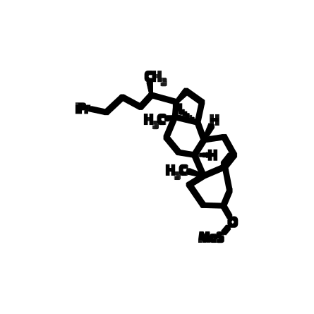 CSOC1CC[C@@]2(C)C(=CC[C@H]3[C@@H]4CC[C@H]([C@H](C)CCCC(C)C)[C@@]4(C)CC[C@@H]32)C1